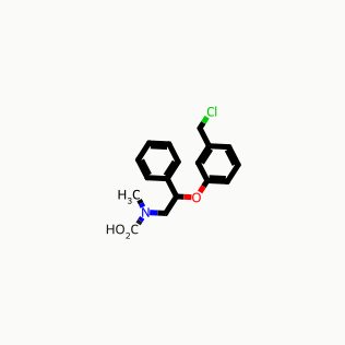 CN(CC(Oc1cccc(CCl)c1)c1ccccc1)C(=O)O